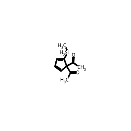 C[SiH2]C1=CC=CC1(C(C)=O)C(C)=O